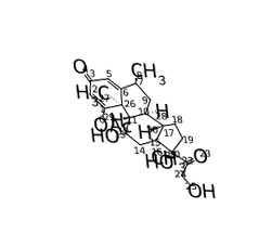 CC(=O)OC1=CC(=O)C=C2[C@@H](C)C[C@@H]3[C@H]([C@@H](O)C[C@@]4(C)[C@H]3CC[C@]4(O)C(=O)CO)[C@@]12C